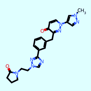 Cn1cc(-n2ccc(=O)c(Cc3cccc(-c4ncn(CCN5CCCC5=O)n4)c3)n2)cn1